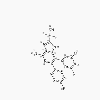 Cc1cc(-c2c(-c3ccc(F)cc3)nc(N)n3nc(C(C)(C)O)nc23)cc(Cl)n1